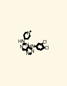 CN1CCC(Nc2ncc3ncnc(Nc4ccc(Cl)c(Cl)c4)c3n2)CC1